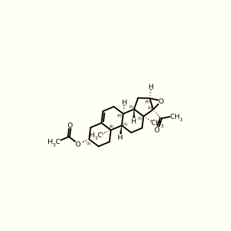 CC(=O)O[C@H]1CC[C@@]2(C)C(=CC[C@@H]3[C@@H]2CC[C@@]2(C)[C@H]3C[C@H]3O[C@]32C(C)=O)C1